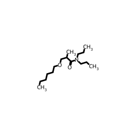 CCCCCCOCC(C)C(=O)N(CCC)CCC